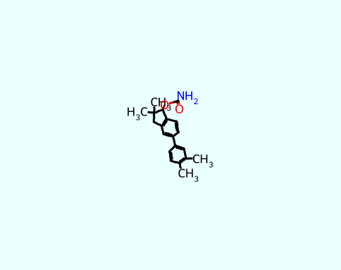 Cc1ccc(-c2ccc3c(c2)CC(C)(C)C3OC(N)=O)cc1C